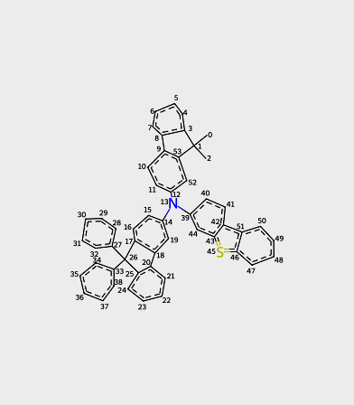 CC1(C)c2ccccc2-c2ccc(N(c3ccc4c(c3)-c3ccccc3C4(c3ccccc3)c3ccccc3)c3ccc4c(c3)sc3ccccc34)cc21